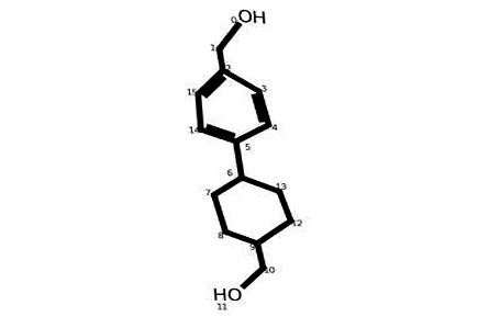 OCc1ccc(C2CCC(CO)CC2)cc1